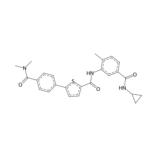 Cc1ccc(C(=O)NC2CC2)cc1NC(=O)c1ccc(-c2ccc(C(=O)N(C)C)cc2)s1